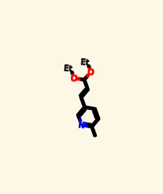 CCOC(/C=C/c1ccc(C)nc1)OCC